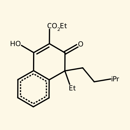 CCOC(=O)C1=C(O)c2ccccc2C(CC)(CCC(C)C)C1=O